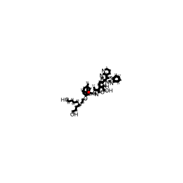 CC1=C2CCCN=C2N=NC1(Nc1nc2ccccc2s1)c1ccc(-c2cnn(CC34CC5(C)CC(C)(C3)CC(OCCN(CCCCO)CCCCO)(C5)C4)c2C)c(C(=O)O)n1